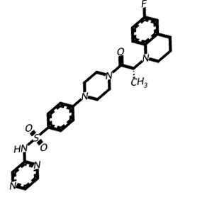 C[C@H](C(=O)N1CCN(c2ccc(S(=O)(=O)Nc3cnccn3)cc2)CC1)N1CCCc2cc(F)ccc21